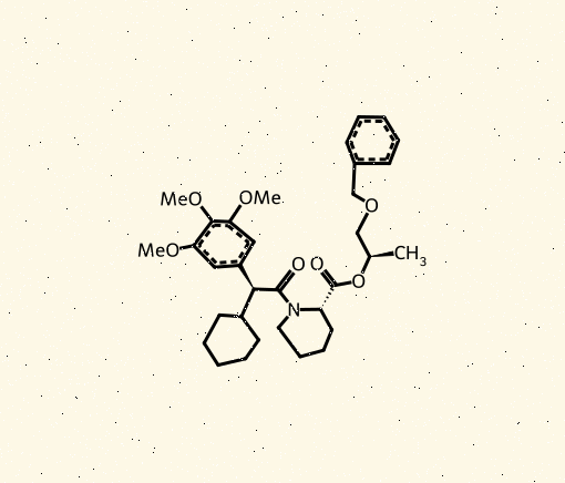 COc1cc([C@@H](C(=O)N2CCCC[C@H]2C(=O)O[C@H](C)COCc2ccccc2)C2CCCCC2)cc(OC)c1OC